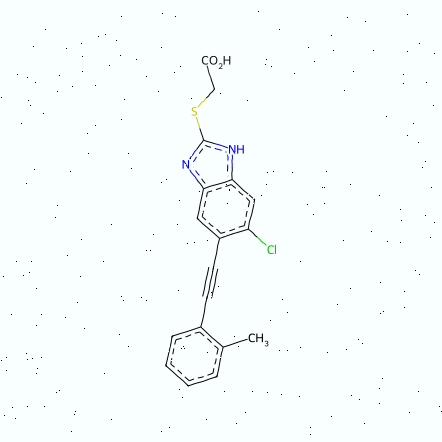 Cc1ccccc1C#Cc1cc2nc(SCC(=O)O)[nH]c2cc1Cl